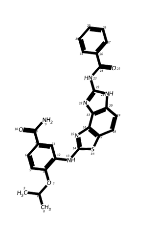 CC(C)Oc1ccc(C(N)=O)cc1Nc1nc2c(ccc3[nH]c(NC(=O)c4ccccc4)nc32)s1